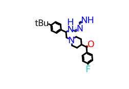 CC(C)(C)c1ccc(C(CN2CCC(C(=O)c3ccc(F)cc3)CC2)N/C=N\C=N)cc1